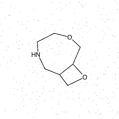 C1COCC2OCC2CN1